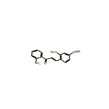 COc1ccc(C=CC(=O)c2ccccc2N)c(OC)c1